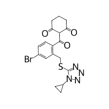 O=C1CCCC(=O)C1C(=O)c1ccc(Br)cc1CSc1nnnn1C1CC1